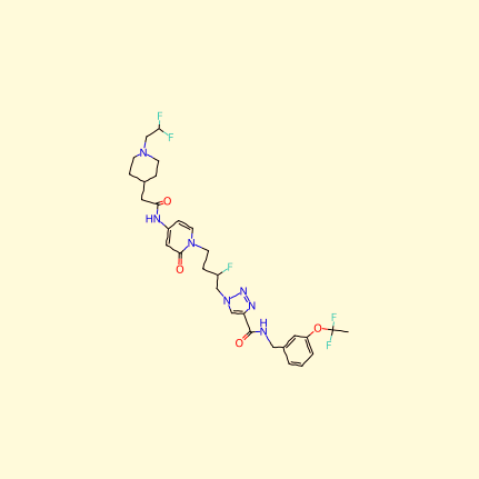 CC(F)(F)Oc1cccc(CNC(=O)c2cn(CC(F)CCn3ccc(NC(=O)CC4CCN(CC(F)F)CC4)cc3=O)nn2)c1